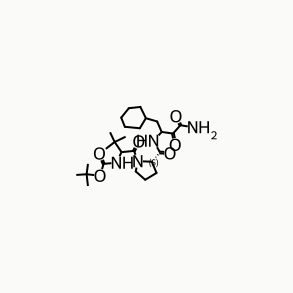 CC(C)(C)OC(=O)NC(C(=O)N1CCC[C@H]1C(=O)NC(CC1CCCCC1)C(=O)C(N)=O)C(C)(C)C